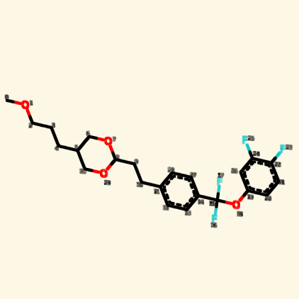 COCCCC1COC(CCc2ccc(C(F)(F)Oc3ccc(F)c(F)c3)cc2)OC1